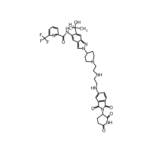 CC(C)(O)c1cc2nn(C3CCN(CCNCCNc4ccc5c(c4)C(=O)N(C4CCC(=O)NC4=O)C5=O)CC3)cc2cc1NC(=O)c1cccc(C(F)(F)F)n1